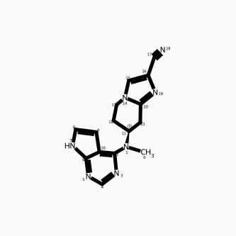 CN(c1ncnc2[nH]ccc12)[C@H]1CCn2cc(C#N)nc2C1